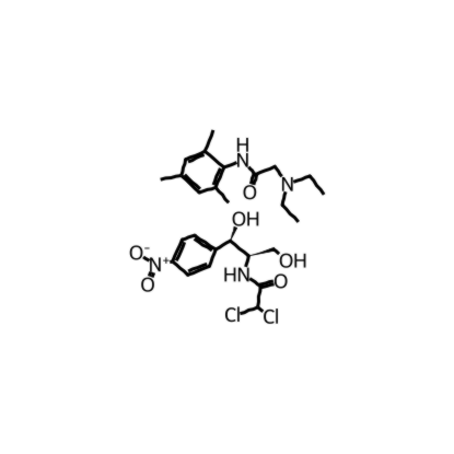 CCN(CC)CC(=O)Nc1c(C)cc(C)cc1C.O=C(N[C@H](CO)[C@H](O)c1ccc([N+](=O)[O-])cc1)C(Cl)Cl